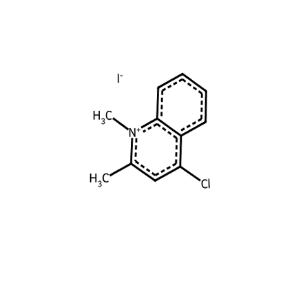 Cc1cc(Cl)c2ccccc2[n+]1C.[I-]